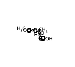 COc1ccc(N2CCN(C(C)C(=O)NC3C4CC5CC3CC(O)(C5)C4)CC2)cc1